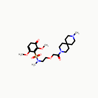 COC1=CCC(=O)C(OC)=C1S(=O)(=O)N(C)CCOCC(=O)N1CCC2(CCN(C)CC2)CC1